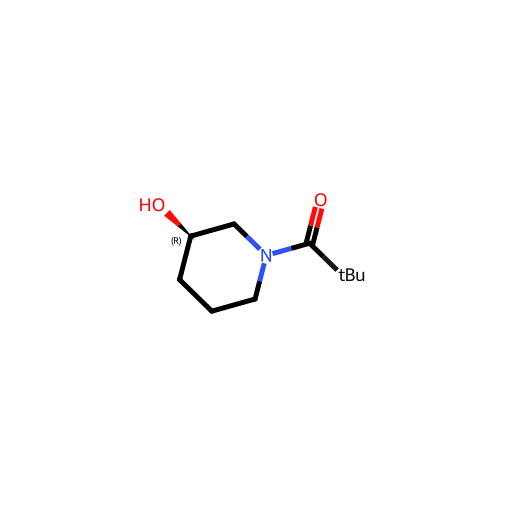 CC(C)(C)C(=O)N1CCC[C@@H](O)C1